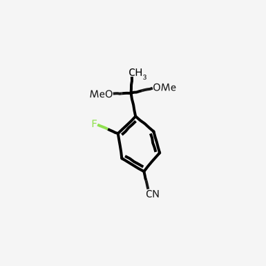 COC(C)(OC)c1ccc(C#N)cc1F